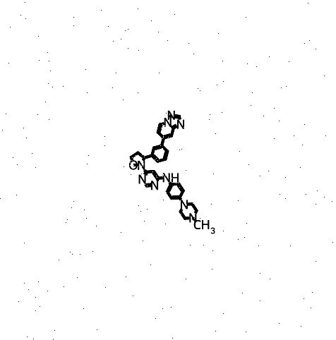 CN1CCN(c2ccc(Nc3cc(N4OCCC4c4cccc(-c5ccn6ncnc6c5)c4)ncn3)cc2)CC1